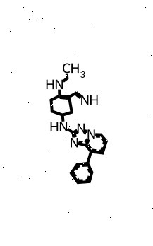 CCNC1=C(C=N)CC(Nc2nc3c(-c4ccccc4)cccn3n2)CC1